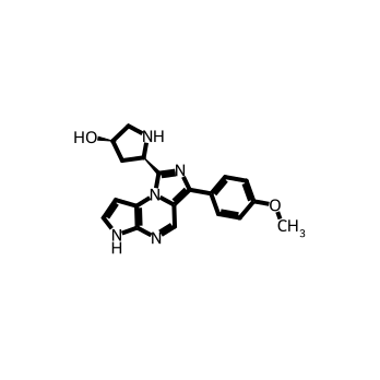 COc1ccc(-c2nc([C@H]3C[C@@H](O)CN3)n3c2cnc2[nH]ccc23)cc1